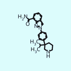 CC(C)C1(c2ccc(-n3cc4cccc(C(N)=O)c4n3)cc2)CCCNC1